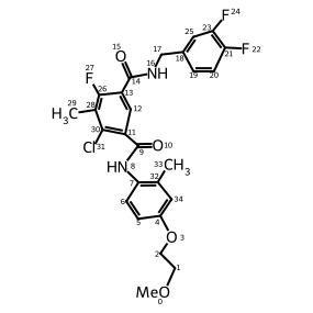 COCCOc1ccc(NC(=O)c2cc(C(=O)NCc3ccc(F)c(F)c3)c(F)c(C)c2Cl)c(C)c1